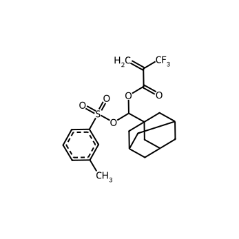 C=C(C(=O)OC(OS(=O)(=O)c1cccc(C)c1)C12CC3CC(CC(C3)C1)C2)C(F)(F)F